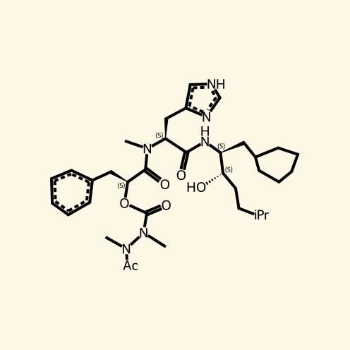 CC(=O)N(C)N(C)C(=O)O[C@@H](Cc1ccccc1)C(=O)N(C)[C@@H](Cc1c[nH]cn1)C(=O)N[C@@H](CC1CCCCC1)[C@@H](O)CCC(C)C